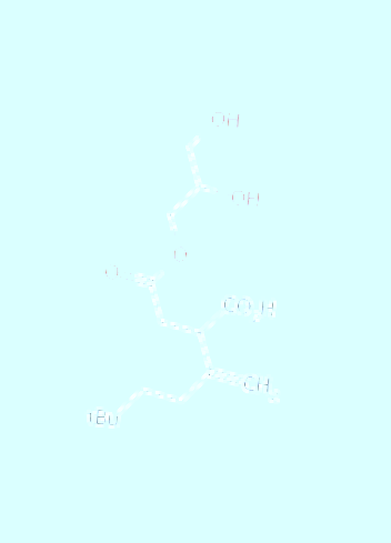 C=C(CCC(C)(C)C)C(CC(=O)OCC(O)CO)C(=O)O